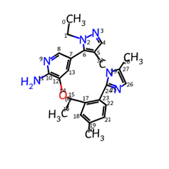 CCn1ncc2c1-c1cnc(N)c(c1)O[C@H](C)c1cc(C)ccc1-c1ncc(C)n1C2